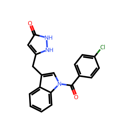 O=C(c1ccc(Cl)cc1)n1cc(Cc2cc(=O)[nH][nH]2)c2ccccc21